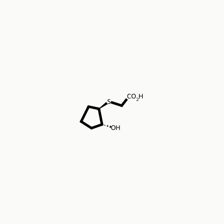 O=C(O)CS[C@@H]1CCC[C@H]1O